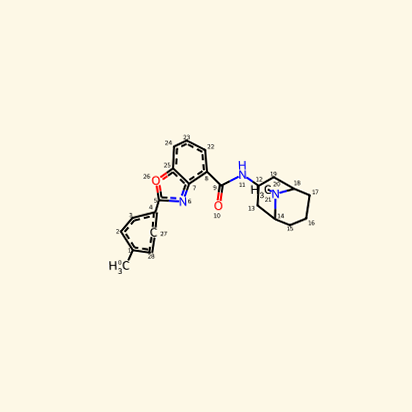 Cc1ccc(-c2nc3c(C(=O)NC4CC5CCCC(C4)N5C)cccc3o2)cc1